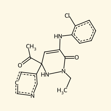 CCN1NC(C(C)=O)(c2cccnc2)C=C(Nc2ccccc2Cl)C1=O